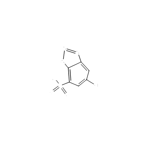 Cc1cc(S(=O)(=O)Cl)c2[nH]nnc2c1